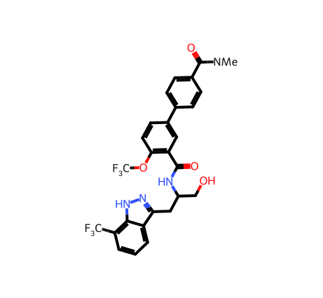 CNC(=O)c1ccc(-c2ccc(OC(F)(F)F)c(C(=O)NC(CO)Cc3n[nH]c4c(C(F)(F)F)cccc34)c2)cc1